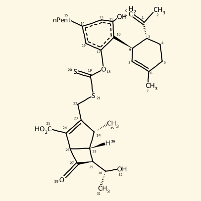 C=C(C)[C@@H]1CCC(C)=C[C@H]1c1c(O)cc(CCCCC)cc1OC(=S)SCC1=C(C(=O)O)C2C(=O)[C@H]([C@@H](C)O)[C@H]2[C@H]1C